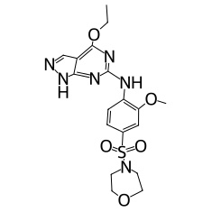 CCOc1nc(Nc2ccc(S(=O)(=O)N3CCOCC3)cc2OC)nc2[nH]ncc12